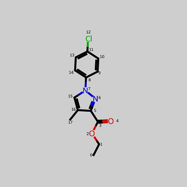 CCOC(=O)c1nn(-c2ccc(Cl)cc2)cc1C